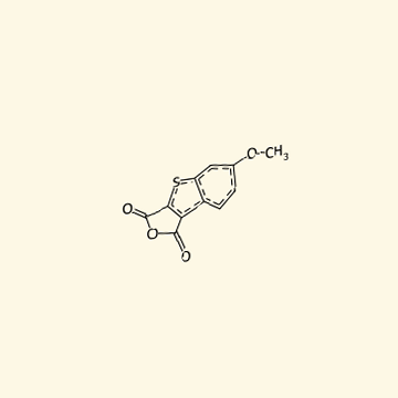 COc1ccc2c3c(sc2c1)C(=O)OC3=O